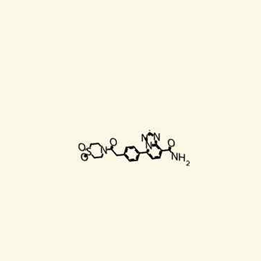 NC(=O)c1ccc(-c2ccc(CC(=O)N3CCS(=O)(=O)CC3)cc2)n2n[c]nc12